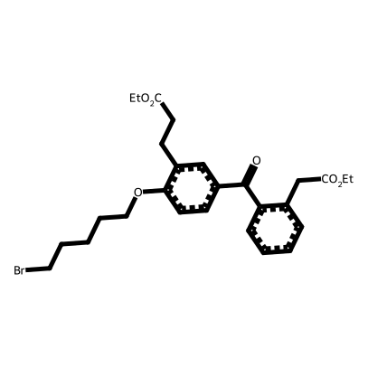 CCOC(=O)CCc1cc(C(=O)c2ccccc2CC(=O)OCC)ccc1OCCCCCBr